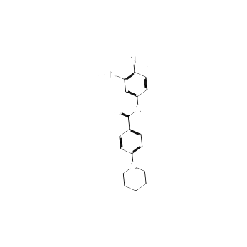 O=C(Nc1ccc([N+](=O)[O-])c([N+](=O)[O-])c1)c1ccc(N2CCCCC2)cc1